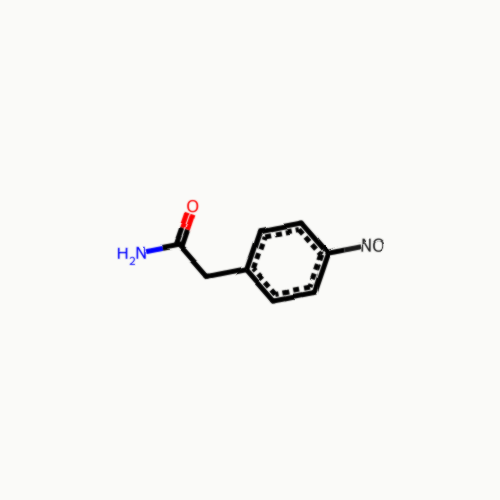 NC(=O)Cc1ccc(N=O)cc1